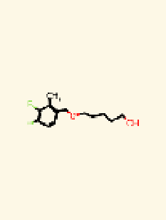 Cc1c(COCCCCCO)ccc(F)c1F